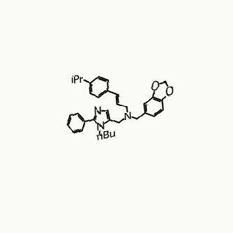 CCCCn1c(CN(CC=Cc2ccc(C(C)C)cc2)Cc2ccc3c(c2)OCO3)cnc1-c1ccccc1